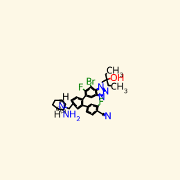 CCC(O)(CC)Cn1nnc2cc(-c3ccc(CN4[C@@H]5CC[C@H]4[C@@H](N)C5)cc3-c3ccc(C#N)c(F)c3)c(F)c(Br)c21